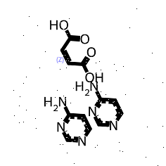 Nc1ccncn1.Nc1ccncn1.O=C(O)/C=C\C(=O)O